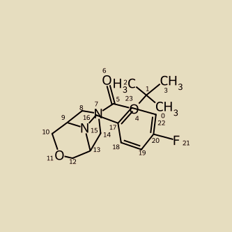 CC(C)(C)OC(=O)N1CC2COCC(C1)N2Cc1ccc(F)cc1